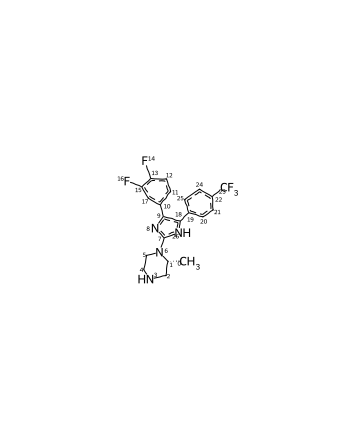 C[C@@H]1CNCCN1c1nc(-c2ccc(F)c(F)c2)c(-c2ccc(C(F)(F)F)cc2)[nH]1